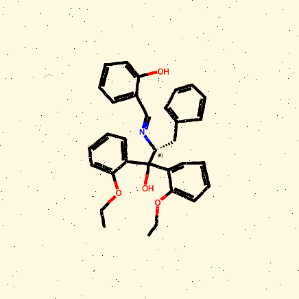 CCOc1ccccc1C(O)(c1ccccc1OCC)[C@@H](Cc1ccccc1)N=Cc1ccccc1O